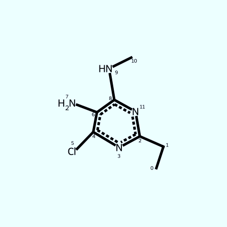 CCc1nc(Cl)c(N)c(NC)n1